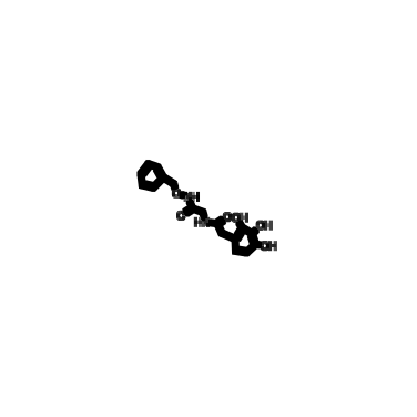 O=C(Cc1ccc(O)c(O)c1O)NCC(=O)NOCc1ccccc1